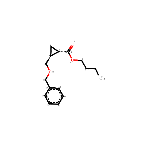 CCCCOC(=O)[C@H]1C[C@@H]1COCc1ccccc1